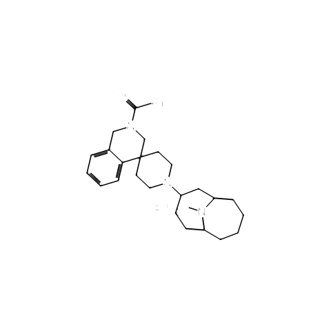 CCOC(=O)N1C2CCCCC1CC(N1CCC3(CC1)CN(C(=O)C(C)C)Cc1ccccc13)CC2